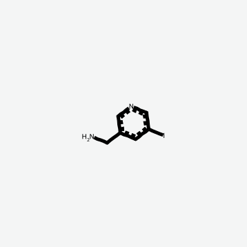 NCc1cncc(I)c1